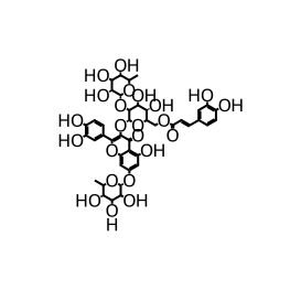 CC1O[C@@H](Oc2cc(O)c3c(=O)c(O[C@@H]4OC(COC(=O)/C=C/c5ccc(O)c(O)c5)[C@@H](O)C(O)C4O[C@@H]4OC(C)[C@H](O)C(O)[C@@H]4O)c(-c4ccc(O)c(O)c4)oc3c2)C(O)C(O)[C@H]1O